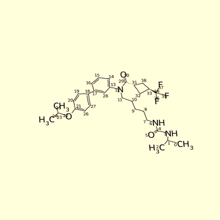 CC(C)NC(=O)NCCCCCN(c1cccc(-c2ccc(OC(C)C)cc2)c1)C(=O)[C@H]1C[C@H](C(F)(F)F)C1